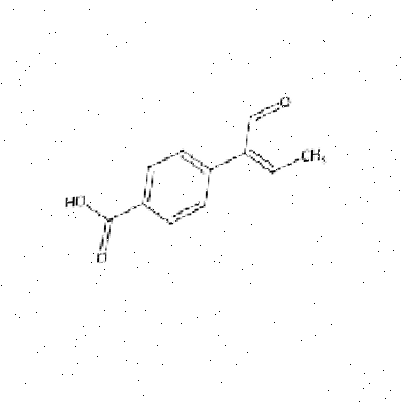 CC=C(C=O)c1ccc(C(=O)O)cc1